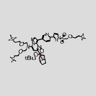 CC(C)(C)OC(=O)N1C2CCC1CC(c1cc(N(COCC[Si](C)(C)C)COCC[Si](C)(C)C)n3ncc(-c4ccc(-c5ccn(S(=O)(=O)COCC[Si](C)(C)C)n5)nc4)c3n1)C2